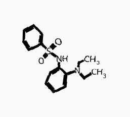 CCN(CC)c1ccccc1NS(=O)(=O)c1ccccc1